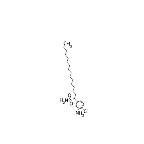 CCCCCCCCCCCCCCCC(c1ccc(Cl)c(N)c1)S(N)(=O)=O